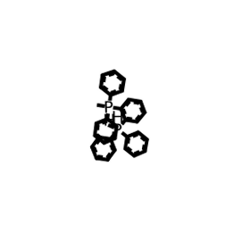 C[PH](c1ccccc1)(c1ccccc1)c1ccccc1[PH](C)(c1ccccc1)c1ccccc1